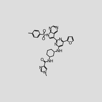 Cc1ccc(S(=O)(=O)n2cc(-c3nc(N[C@@H]4CCC[C@H](NC(=O)c5cn(C)cn5)C4)cc(-c4ccco4)n3)c3cncnc32)cc1